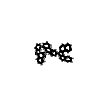 c1ccc2c(c1)ccc1c2c2c3ccccc3ccc2n1-c1ccc2c(c1)c1ccccc1n2-c1nc2ccccc2c2nc3ccccc3n12